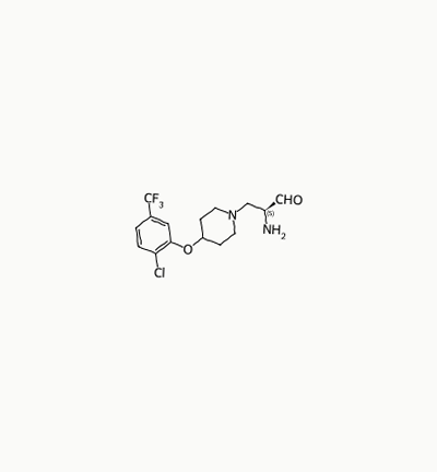 N[C@H](C=O)CN1CCC(Oc2cc(C(F)(F)F)ccc2Cl)CC1